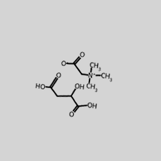 C[N+](C)(C)CC(=O)[O-].O=C(O)CC(O)C(=O)O